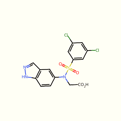 O=C(O)CN(c1ccc2[nH]ncc2c1)S(=O)(=O)c1cc(Cl)cc(Cl)c1